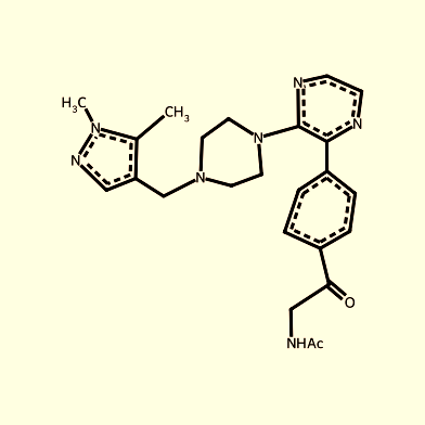 CC(=O)NCC(=O)c1ccc(-c2nccnc2N2CCN(Cc3cnn(C)c3C)CC2)cc1